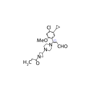 C=CC(=O)N1CC(N2CCN(/C(=C\C=O)c3cc(C4CC4)c(Cl)cc3OC)CC2)C1